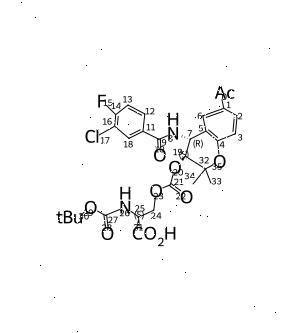 CC(=O)c1ccc2c(c1)[C@@H](NC(=O)c1ccc(F)c(Cl)c1)[C@H](OC(=O)OC[C@H](NC(=O)OC(C)(C)C)C(=O)O)C(C)(C)O2